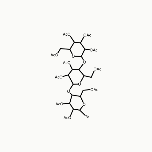 CC(=O)OCC1OC(Br)C(OC(C)=O)C(OC(C)=O)C1OC1OC(COC(C)=O)C(OC2OC(COC(C)=O)C(OC(C)=O)C(OC(C)=O)C2OC(C)=O)C(OC(C)=O)C1OC(C)=O